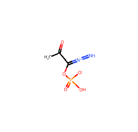 CC(=O)C(=[N+]=N)OP(=O)([O-])O